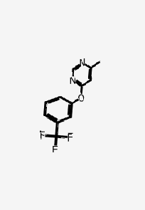 Cc1cc(Oc2cccc(C(F)(F)F)c2)ncn1